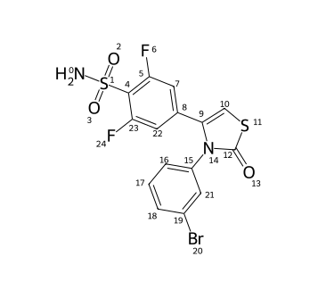 NS(=O)(=O)c1c(F)cc(-c2csc(=O)n2-c2cccc(Br)c2)cc1F